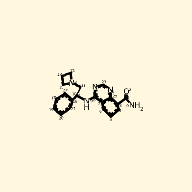 NC(=O)c1cccc2c(N[C@H](CN3CCC3)c3ccccc3)ncnc12